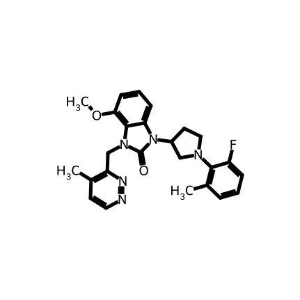 COc1cccc2c1n(Cc1nnccc1C)c(=O)n2C1CCN(c2c(C)cccc2F)C1